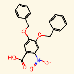 O=C(O)c1cc(OCc2ccccc2)c(OCc2ccccc2)cc1[N+](=O)[O-]